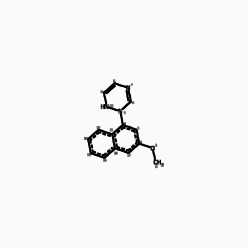 COc1cc(N2C=NC=CN2)c2ccccc2c1